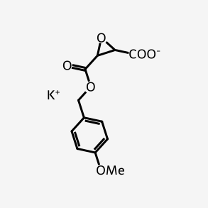 COc1ccc(COC(=O)C2OC2C(=O)[O-])cc1.[K+]